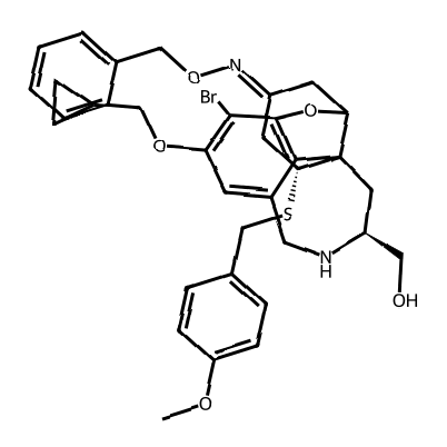 COc1ccc(CS[C@@H]2C/C(=N\OCc3ccccc3)CC3Oc4c(Br)c(OCC5CC5)cc5c4C32C[C@@H](CO)NC5)cc1